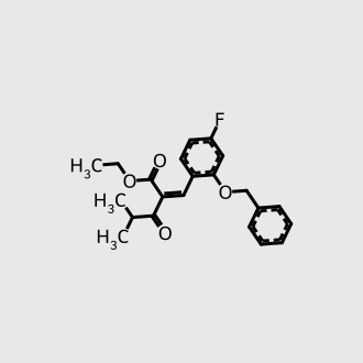 CCOC(=O)C(=Cc1ccc(F)cc1OCc1ccccc1)C(=O)C(C)C